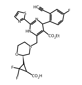 C#Cc1cc(F)ccc1C1N=C(c2nccs2)NC(CN2CCO[C@H](C3C(C(=O)O)C3(F)F)C2)=C1C(=O)OCC